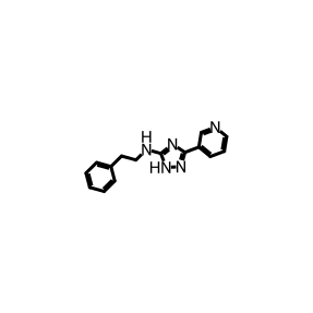 c1ccc(CCNc2nc(-c3cccnc3)n[nH]2)cc1